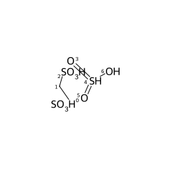 O=S(=O)(O)CS(=O)(=O)O.O=[SH](=O)O